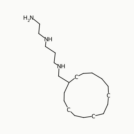 NCCNCCCNCC1CCCCCCCCCCCCCC1